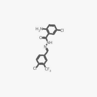 Nc1ccc(Cl)cc1C(=O)NN=Cc1ccc(Cl)c(C(F)(F)F)c1